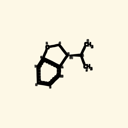 CC(C)[C@H]1COc2ccccc21